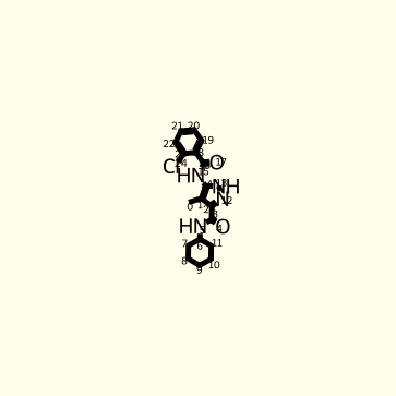 Cc1c(C(=O)NC2CCCCC2)n[nH]c1NC(=O)c1ccccc1Cl